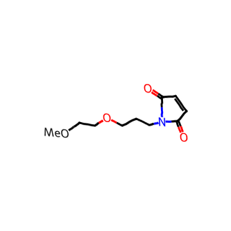 COCCOCCCN1C(=O)C=CC1=O